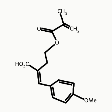 C=C(C)C(=O)OCC/C(=C\c1ccc(OC)cc1)C(=O)O